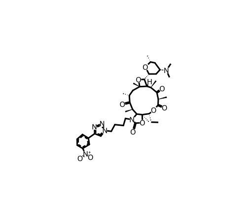 CC[C@H]1OC(=O)[C@H](C)C(=O)[C@H](C)[C@H]2C([C@H]3C[C@@H](N(C)C)C[C@@H](C)O3)O[C@@]2(C)C[C@@H](C)C(=O)[C@H](C)C2N(CCCCn3cc(-c4cccc([N+](=O)[O-])c4)nn3)C(=O)O[C@@]21C